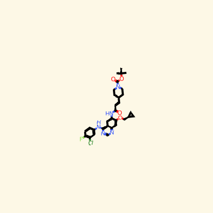 CC(C)(C)OC(=O)N1CCC(/C=C/C(=O)Nc2cc3c(Nc4ccc(F)c(Cl)c4)ncnc3cc2OCC2CC2)CC1